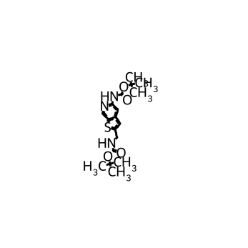 CC(C)(C)OC(=O)NCc1cc2cc(NC(=O)OC(C)(C)C)ncc2s1